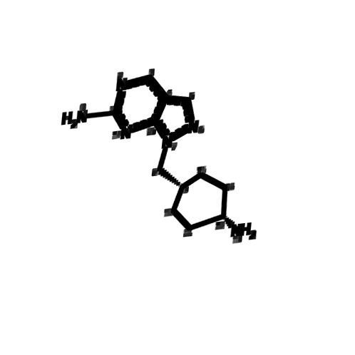 Nc1ncc2cnn(C[C@H]3CC[C@@H](N)CC3)c2n1